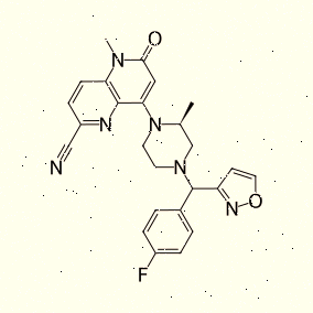 C[C@H]1CN(C(c2ccc(F)cc2)c2ccon2)CCN1c1cc(=O)n(C)c2ccc(C#N)nc12